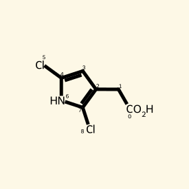 O=C(O)Cc1cc(Cl)[nH]c1Cl